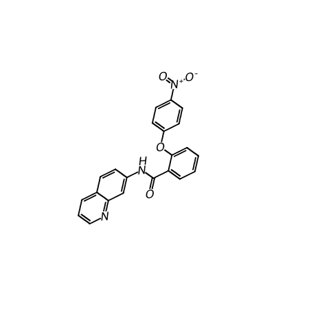 O=C(Nc1ccc2cccnc2c1)c1ccccc1Oc1ccc([N+](=O)[O-])cc1